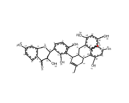 CC1=CC(c2c(O)ccc(C3Oc4cc(O)ccc4C(=O)C3O)c2O)C(Cc2ccc(O)cc2O)C(c2ccc(O)cc2O)C1